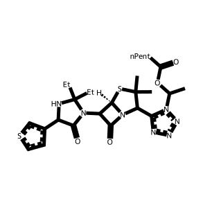 CCCCCC(=O)OC(C)n1nnnc1C1N2C(=O)C(N3C(=O)C(c4ccsc4)NC3(CC)CC)[C@H]2SC1(C)C